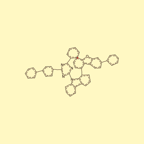 c1ccc(-c2ccc(-c3nc(-c4ccccc4)nc(-n4c5ccccc5c5cccc(-c6cccc7oc8cc(-c9ccccc9)ccc8c67)c54)n3)cc2)cc1